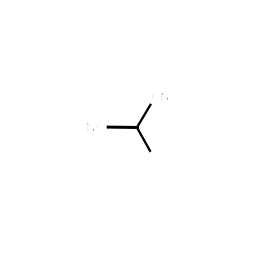 C[C]C(C#N)C#N